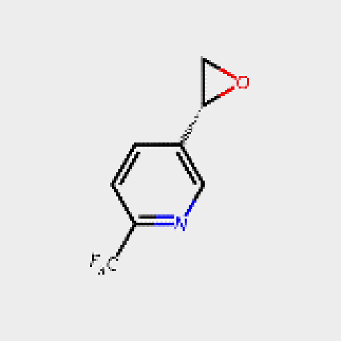 FC(F)(F)c1ccc([C@@H]2CO2)cn1